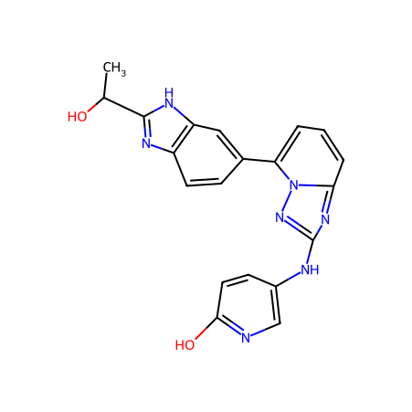 CC(O)c1nc2ccc(-c3cccc4nc(Nc5ccc(O)nc5)nn34)cc2[nH]1